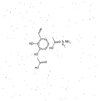 C=Cc1cccc(O)c1O.CC(=O)O.CC(=O)O.N.N